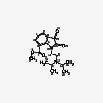 COC(=O)c1cccc2c1N(CCN(C(C)C)C(C)C)C(=O)C2=O